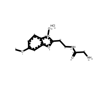 COc1ccc2c(c1)oc(CCNC(=O)CN)[n+]2[O-].Cl